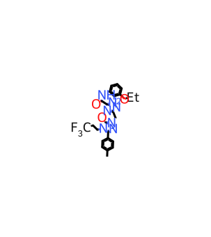 CCOc1ccccc1-n1nc(Cn2nc(-c3ccc(C)cc3)n(CCC(F)(F)F)c2=O)nc1C(N)=O